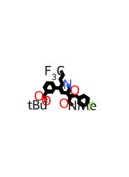 CNC(=O)c1c(-c2ccc(F)cc2)oc2nc(CCC(F)(F)F)c(-c3cccc(C(=O)OC(C)(C)C)c3)cc12